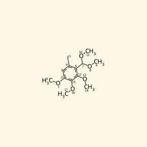 COc1cc(I)c(C(OC)OC)c(OC)c1OC